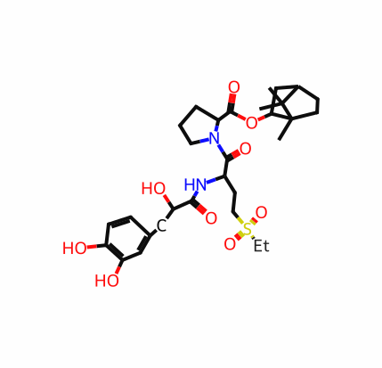 CCS(=O)(=O)CCC(NC(=O)C(O)Cc1ccc(O)c(O)c1)C(=O)N1CCCC1C(=O)OC1CC2CCC1(C)C2(C)C